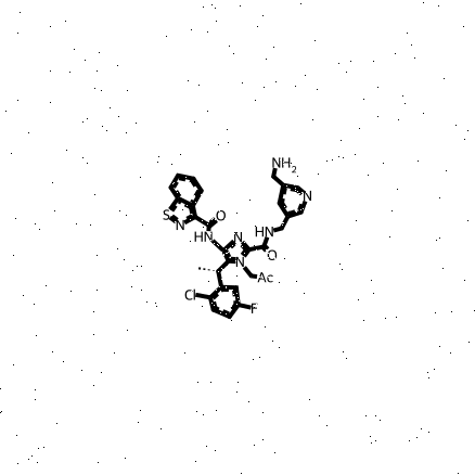 CC(=O)Cn1c(C(=O)NCc2cncc(CN)c2)nc(NC(=O)c2nsc3ccccc23)c1[C@@H](C)c1cc(F)ccc1Cl